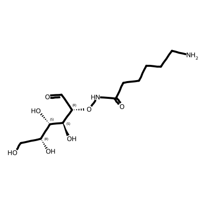 NCCCCCC(=O)NO[C@@H](C=O)[C@@H](O)[C@@H](O)[C@H](O)CO